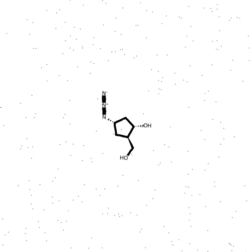 [N-]=[N+]=N[C@H]1C[C@H](CO)[C@@H](O)C1